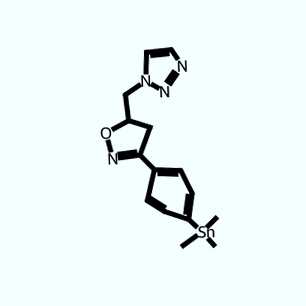 [CH3][Sn]([CH3])([CH3])[c]1ccc(C2=NOC(Cn3ccnn3)C2)cc1